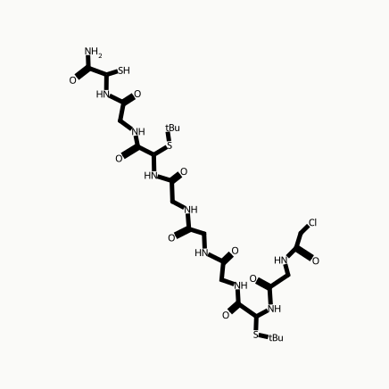 CC(C)(C)SC(NC(=O)CNC(=O)CCl)C(=O)NCC(=O)NCC(=O)NCC(=O)NC(SC(C)(C)C)C(=O)NCC(=O)NC(S)C(N)=O